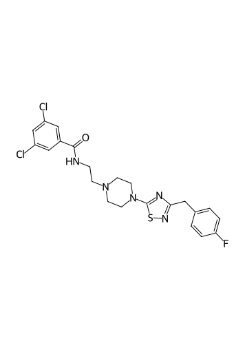 O=C(NCCN1CCN(c2nc(Cc3ccc(F)cc3)ns2)CC1)c1cc(Cl)cc(Cl)c1